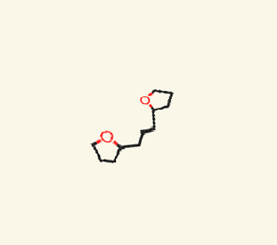 C1COC(CCCC2CCCO2)C1